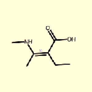 CC/C(C(=O)O)=C(\C)NC